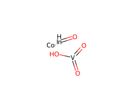 [Co].[O]=[InH].[O]=[V](=[O])[OH]